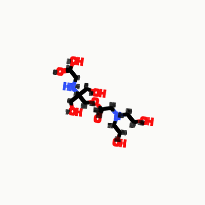 O=C(O)CNC(CO)(CO)COC(=O)CN(CCO)CCO